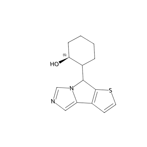 O[C@H]1CCCCC1C1c2sccc2-c2cncn21